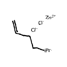 C=CCC[C](C)C.[Cl-].[Cl-].[Zn+2]